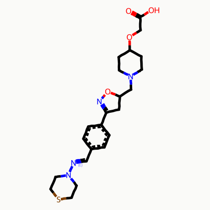 O=C(O)COC1CCN(CC2CC(c3ccc(/C=N/N4CCSCC4)cc3)=NO2)CC1